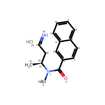 CCCCN(C(=O)c1ccc2ccccc2c1)[C@@H](C)CC=N.Cl